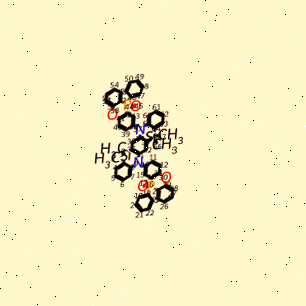 C[Si]1(C)c2ccccc2N(c2ccc3c(c2)P(=O)(c2ccccc2)c2ccccc2O3)c2cc3c(cc21)N(c1ccc2c(c1)P(=O)(c1ccccc1)c1ccccc1O2)c1ccccc1[Si]3(C)C